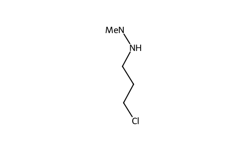 CNNCCCCl